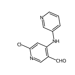 O=Cc1cnc(Cl)cc1Nc1cccnc1